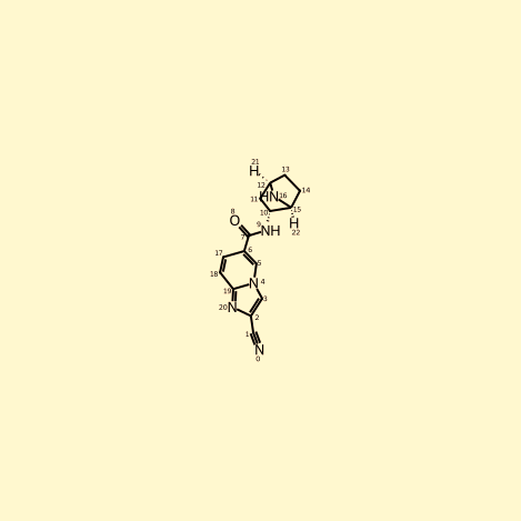 N#Cc1cn2cc(C(=O)N[C@@H]3C[C@H]4CC[C@@H]3N4)ccc2n1